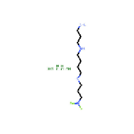 Cl.Cl.Cl.Cl.NCCCNCCCCNCCCN(F)F